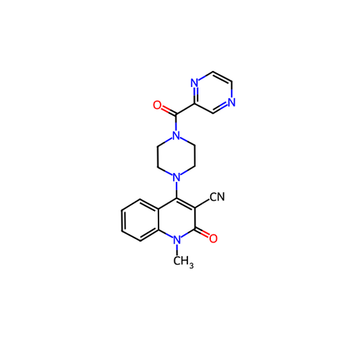 Cn1c(=O)c(C#N)c(N2CCN(C(=O)c3cnccn3)CC2)c2ccccc21